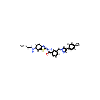 COCCN[C@H]1CCc2nc(NC(=O)c3cccc(Cn4cc(-c5ccc(C#N)cc5)cn4)c3)sc2C1